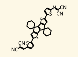 N#CC(C#N)=Cc1ccc(-c2cc3c(s2)C2=C(c4sc(-c5ccc(N=C(C#N)C#N)s5)cc4C24CCCCC4)C32CCCCC2)s1